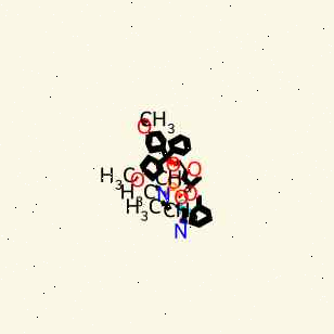 COc1ccc(C(OC[C@H]2OC[C@H](OCc3ccccc3F)[C@@H]2OP(OCCC#N)N(C(C)C)C(C)C)(c2ccccc2)c2ccc(OC)cc2)cc1